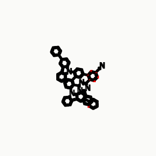 N#Cc1cccc(-c2ccc(-n3c4ccccc4c4cc(-c5ccccc5)ccc43)c(-c3cccc(-n4c5ccccc5c5cc(-c6ccccc6)ccc54)c3-c3nc(-c4ccccc4)nc(-c4ccccc4)n3)c2)c1